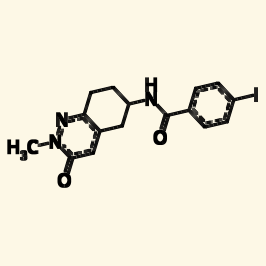 Cn1nc2c(cc1=O)CC(NC(=O)c1ccc(I)cc1)CC2